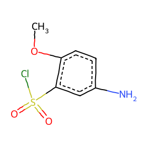 COc1ccc(N)cc1S(=O)(=O)Cl